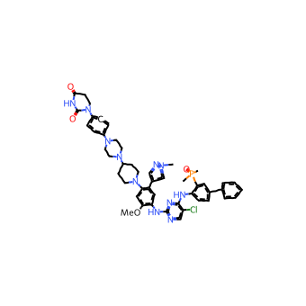 COc1cc(N2CCC(N3CCN(c4ccc(N5CCC(=O)NC5=O)cc4)CC3)CC2)c(-c2cnn(C)c2)cc1Nc1ncc(Cl)c(Nc2ccc(-c3ccccc3)cc2P(C)(C)=O)n1